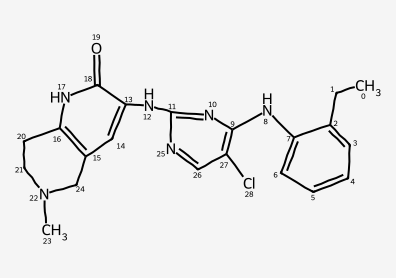 CCc1ccccc1Nc1nc(Nc2cc3c([nH]c2=O)CCN(C)C3)ncc1Cl